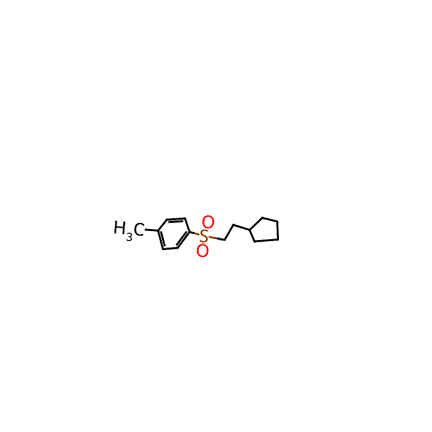 Cc1ccc(S(=O)(=O)CCC2CCCC2)cc1